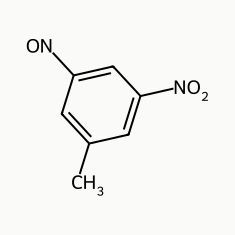 Cc1cc(N=O)cc([N+](=O)[O-])c1